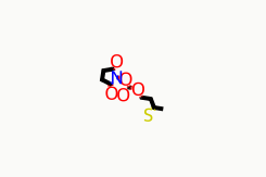 CC(=S)CCOC(=O)ON1C(=O)CCC1=O